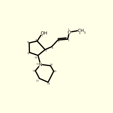 COC=CCC1C(O)CCC1N1CCCCC1